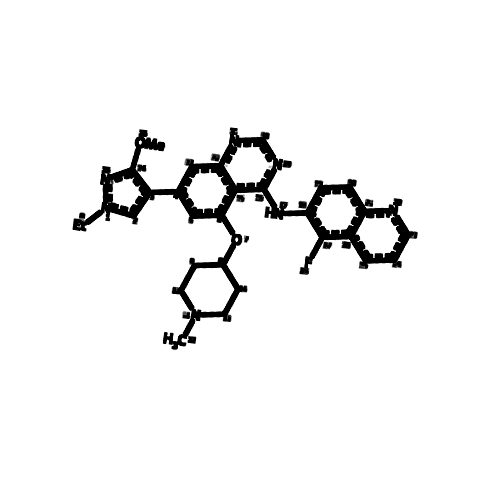 CCn1cc(-c2cc(OC3CCN(C)CC3)c3c(Nc4ccc5ncccc5c4F)ncnc3c2)c(OC)n1